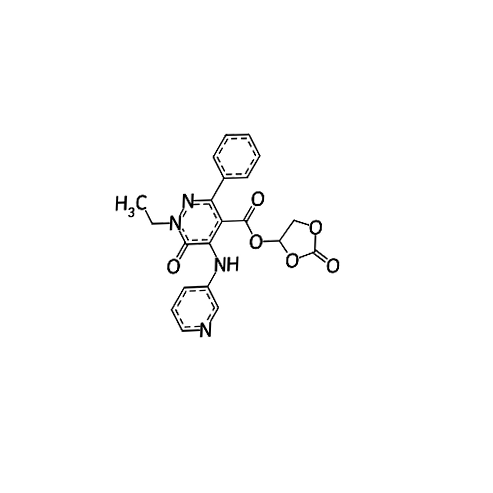 CCn1nc(-c2ccccc2)c(C(=O)OC2COC(=O)O2)c(Nc2cccnc2)c1=O